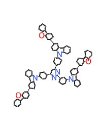 c1cc(-c2nc(-c3ccc(-n4c5ccccc5c5cc(-c6ccc7c(c6)oc6ccccc67)ccc54)cc3)cc(-c3ccc(-n4c5ccccc5c5cc(-c6ccc7c(c6)oc6ccccc67)ccc54)cc3)n2)cc(-n2c3ccccc3c3cc(-c4ccc5c(c4)oc4ccccc45)ccc32)c1